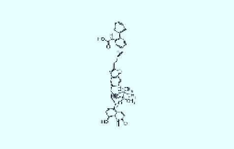 CC(C)(C)[Si](C)(C)O[C@H](CNCc1ccc2oc(CC/C=C/c3ccc(-c4ccccc4)c(NC(=O)O)c3)nc2c1)c1ccc(O)c2[nH]c(=O)ccc12